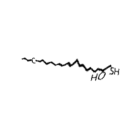 CCCCCCCCCCCCCCCCCCCCCCC(O)CS